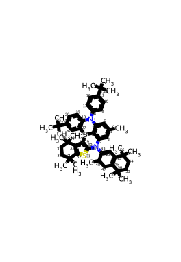 Cc1cc2c3c(c1)N(c1ccc(C(C)(C)C)cc1)c1ccc(C(C)(C)C)cc1B3c1c(sc3c1C(C)(C)CCC3(C)C)N2C1=CC2=C(CC1C)C(C)(C)CCC2(C)C